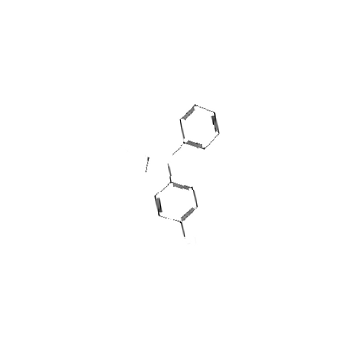 CS(=O)(=O)O.Sc1ccc(Sc2ccccc2)cc1